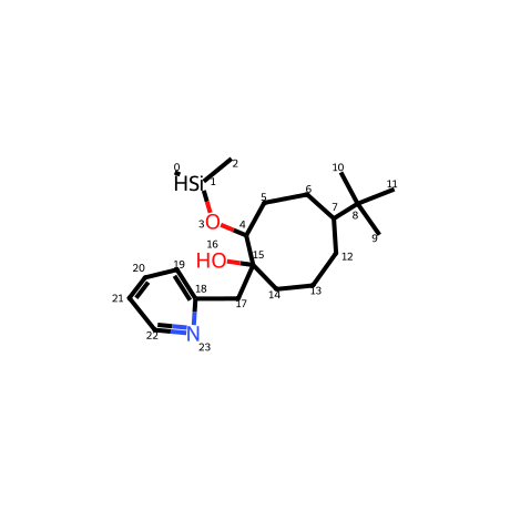 C[SiH](C)OC1CCC(C(C)(C)C)CCCC1(O)Cc1ccccn1